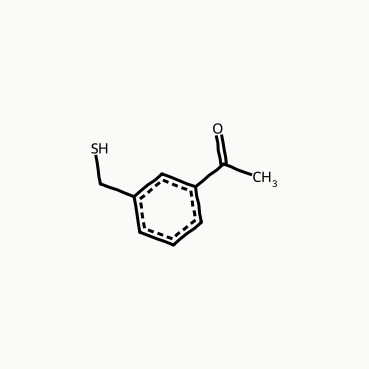 CC(=O)c1cccc(CS)c1